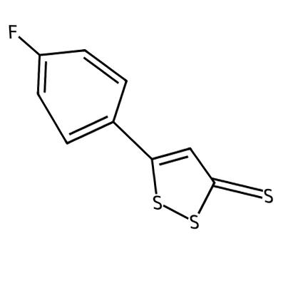 Fc1ccc(-c2cc(=S)ss2)cc1